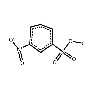 O=[N+]([O-])c1cccc(S(=O)(=O)OCl)c1